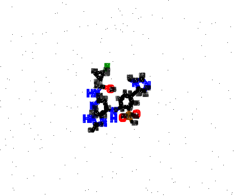 Cc1nc2c(Nc3ccc(-c4cncn4C)cc3S(C)(=O)=O)cc(NC(=O)[C@@H]3C[C@@H]3F)nc2[nH]1